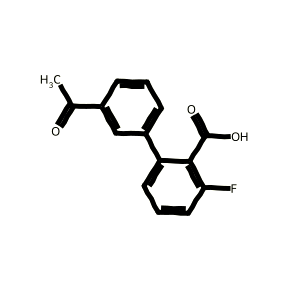 CC(=O)c1cccc(-c2cccc(F)c2C(=O)O)c1